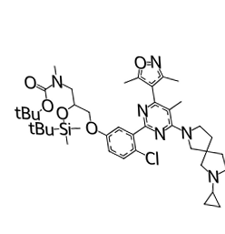 Cc1noc(C)c1-c1nc(-c2cc(OCC(CN(C)C(=O)OC(C)(C)C)O[Si](C)(C)C(C)(C)C)ccc2Cl)nc(N2CCC3(CCN(C4CC4)C3)C2)c1C